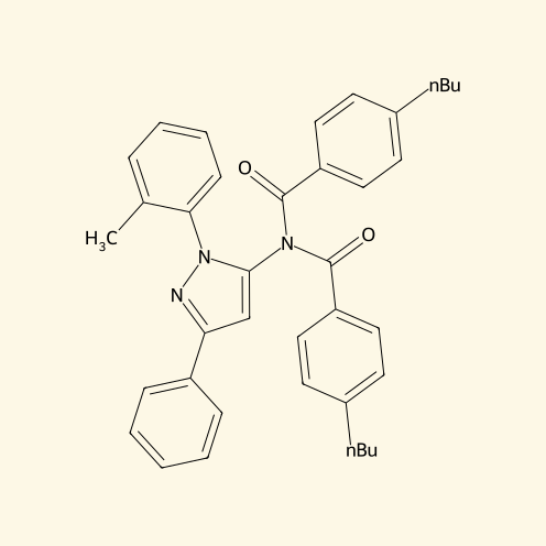 CCCCc1ccc(C(=O)N(C(=O)c2ccc(CCCC)cc2)c2cc(-c3ccccc3)nn2-c2ccccc2C)cc1